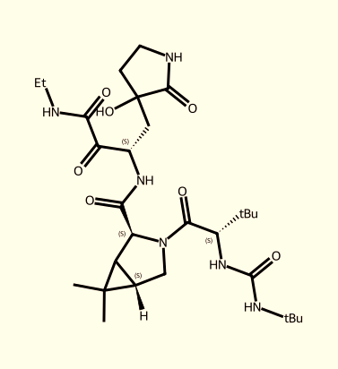 CCNC(=O)C(=O)[C@H](CC1(O)CCNC1=O)NC(=O)[C@@H]1C2[C@H](CN1C(=O)[C@@H](NC(=O)NC(C)(C)C)C(C)(C)C)C2(C)C